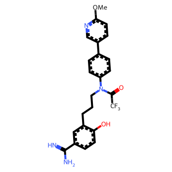 COc1ccc(-c2ccc(N(CCCc3cc(C(=N)N)ccc3O)C(=O)C(F)(F)F)cc2)cn1